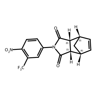 O=C1[C@@H]2[C@H](C(=O)N1c1ccc([N+](=O)[O-])c(C(F)(F)F)c1)[C@@H]1C=C[C@H]2C1